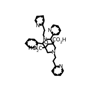 O=C(O)C12CN(CCc3ccccn3)CC(C(=O)O)(C1=O)C(c1ccccn1)N(CCc1ccccn1)C2c1ccccn1